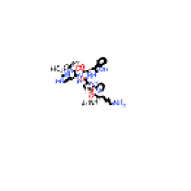 CC(=O)N[C@@H](CCCCN)C(=O)N1CCC[C@H]1C(=O)N[C@@H](CC(C)C)C(=O)N[C@@H](Cc1c[nH]c2ccccc12)C(=O)N[C@@H](Cc1c[nH]cn1)C(=O)N[C@H](C(=O)O)C(C)C